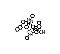 N#Cc1ccc(-c2nc(-c3ccccc3)nc(-c3ccccc3)n2)cc1-c1ccc2ccccc2c1-c1cc(-c2nc(-c3ccccc3)nc(-c3cccc(-c4ccc5ccccc5c4)c3)n2)ccc1C#N